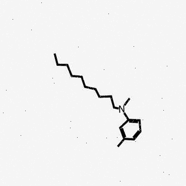 CCCCCCCCCCN(C)c1cccc(C)c1